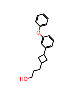 OCCCC1CC(c2cccc(Oc3ccccc3)c2)C1